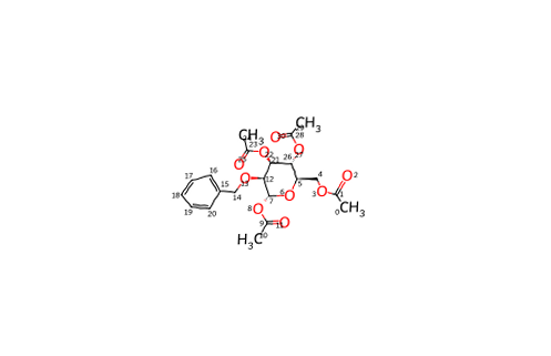 CC(=O)OC[C@H]1O[C@H](OC(C)=O)[C@@H](OCc2ccccc2)[C@@H](OC(C)=O)[C@@H]1OC(C)=O